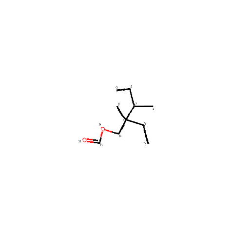 CCC(C)C(C)(CC)CO[C]=O